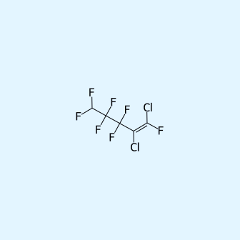 FC(Cl)=C(Cl)C(F)(F)C(F)(F)C(F)F